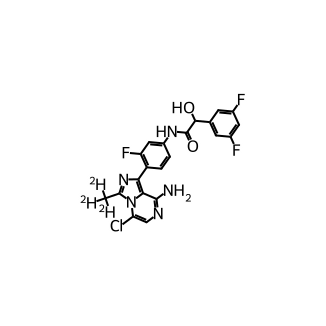 [2H]C([2H])([2H])c1nc(-c2ccc(NC(=O)C(O)c3cc(F)cc(F)c3)cc2F)c2c(N)ncc(Cl)n12